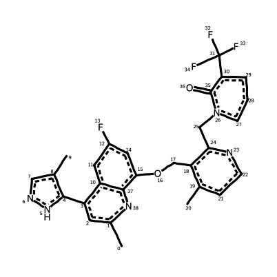 Cc1cc(-c2[nH]ncc2C)c2cc(F)cc(OCc3c(C)ccnc3Cn3cccc(C(F)(F)F)c3=O)c2n1